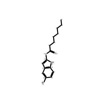 CCCCCCCC(=O)Oc1cc2cc(Br)ccc2[nH]1